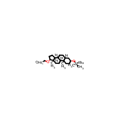 CC(C)(C)[Si](C)(C)O[C@H]1CC[C@@]2(C)[C@@H](CC[C@@H]3[C@@H]2CC[C@]2(C)[C@@H](OCC=O)CC[C@@H]32)C1